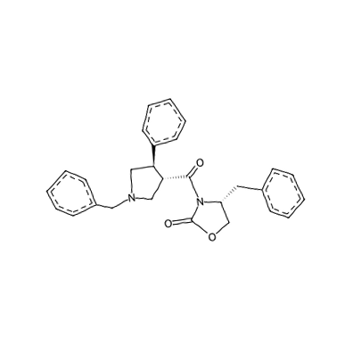 O=C1OC[C@@H](Cc2ccccc2)N1C(=O)[C@@H]1CN(Cc2ccccc2)C[C@H]1c1ccccc1